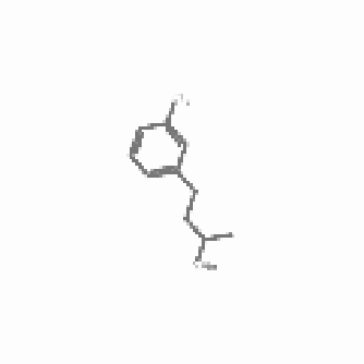 CNC(C)CCc1cccc(C(F)(F)F)c1